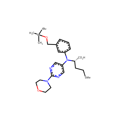 CSCC[C@@H](C(=O)O)N(c1cnc(N2CCOCC2)nc1)c1cccc(CO[Si](C)(C)C(C)(C)C)c1